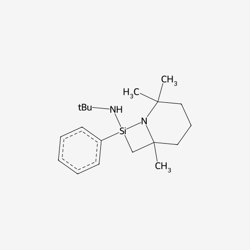 CC(C)(C)N[Si]1(c2ccccc2)CC2(C)CCCC(C)(C)N21